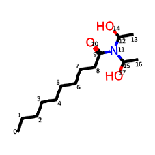 CCCCCCCCCC(=O)N(C(C)O)C(C)O